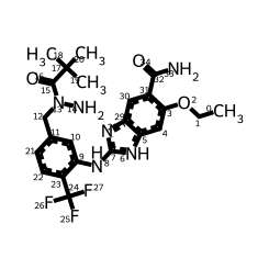 CCOc1cc2[nH]c(Nc3cc(CN(N)C(=O)C(C)(C)C)ccc3C(F)(F)F)nc2cc1C(N)=O